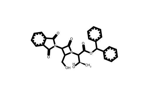 C[C@@H](O)C(C(=O)OC(c1ccccc1)c1ccccc1)N1C(=O)C(N2C(=O)c3ccccc3C2=O)C1CO